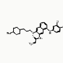 C=CC(=O)Nc1cc2c(Nc3ccc(F)c(Cl)c3)cccc2cc1OCCCC1CCC(C(C)(C)C)CC1